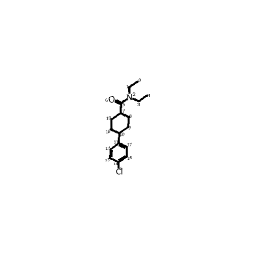 CCN(CC)C(=O)C1CCC(c2ccc(Cl)cc2)CC1